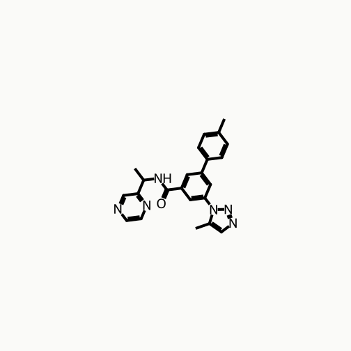 Cc1ccc(-c2cc(C(=O)NC(C)c3cnccn3)cc(-n3nncc3C)c2)cc1